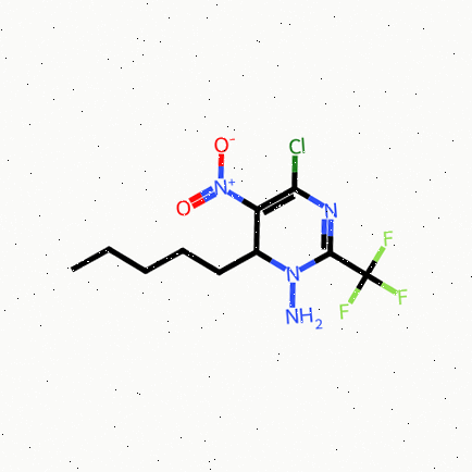 CCCCCC1C([N+](=O)[O-])=C(Cl)N=C(C(F)(F)F)N1N